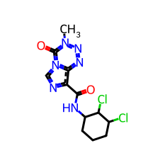 Cn1nnc2c(C(=O)NC3CCCC(Cl)C3Cl)ncn2c1=O